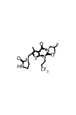 Cc1c(CN2CCNC2=O)sc2c1c(=O)n(CC(F)F)c(=O)n2CCC(F)(F)F